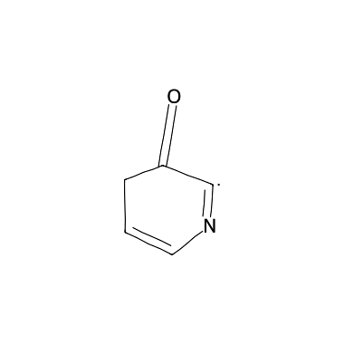 O=C1[C]=NC=CC1